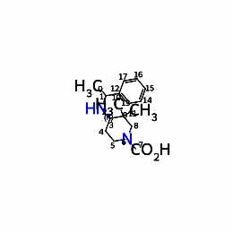 CC(N[C@@H]1CCN(C(=O)O)CC1(C)C)c1ccccc1